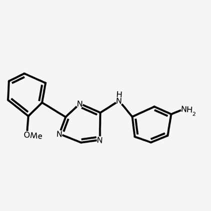 COc1ccccc1-c1ncnc(Nc2cccc(N)c2)n1